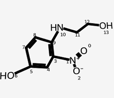 O=[N+]([O-])c1cc(O)ccc1NCCO